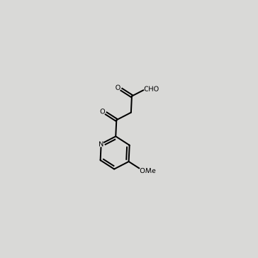 COc1ccnc(C(=O)CC(=O)C=O)c1